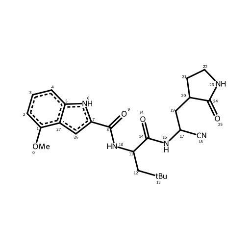 COc1cccc2[nH]c(C(=O)NC(CC(C)(C)C)C(=O)NC(C#N)CC3CCNC3=O)cc12